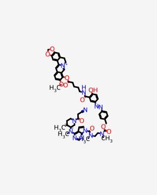 COc1ccc2cc3[n+](cc2c1OC(=O)CCCCNC(=O)c1cc(/N=N/c2ccc(COC(=O)N(C)CCN(C)C(=O)n4ccc5c(N(C)[C@@H]6CN(C(=O)CC#N)CC[C@@H]6C)ncnc54)cc2)ccc1O)CCc1cc2c(cc1-3)OCO2